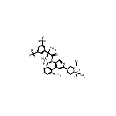 Cc1ccccc1-c1cc(N2CCN(S(C)(=O)=O)[C@@H](CO)C2)ncc1N(C)C(=O)C(C)(C)c1cc(C(F)(F)F)cc(C(F)(F)F)c1